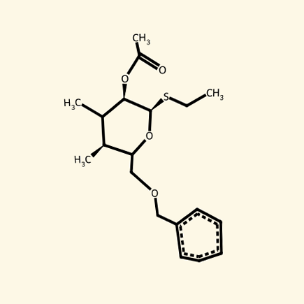 CCS[C@H]1OC(COCc2ccccc2)[C@@H](C)C(C)[C@H]1OC(C)=O